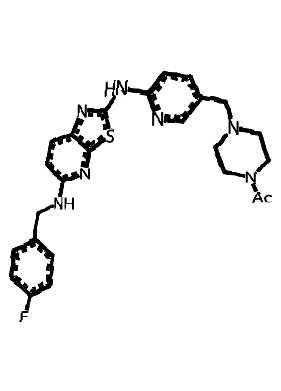 CC(=O)N1CCN(Cc2ccc(Nc3nc4ccc(NCc5ccc(F)cc5)nc4s3)nc2)CC1